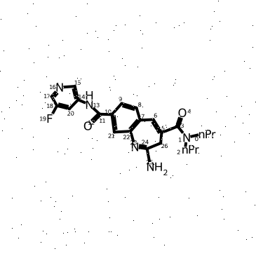 CCCN(CCC)C(=O)C1=Cc2ccc(C(=O)Nc3cncc(F)c3)cc2N=C(N)C1